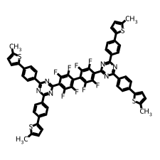 Cc1ccc(-c2ccc(-c3nc(-c4ccc(-c5ccc(C)s5)cc4)nc(-c4c(F)c(F)c(-c5c(F)c(F)c(-c6nc(-c7ccc(-c8ccc(C)s8)cc7)nc(-c7ccc(-c8ccc(C)s8)cc7)n6)c(F)c5F)c(F)c4F)n3)cc2)s1